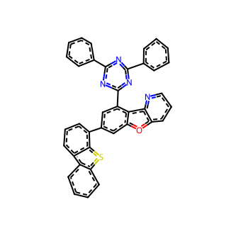 c1ccc(-c2nc(-c3ccccc3)nc(-c3cc(-c4cccc5c4sc4ccccc45)cc4oc5cccnc5c34)n2)cc1